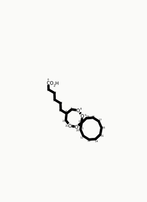 O=C(O)CCCCCC1COOC2(CCCCCCCCC2)OOC1